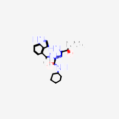 CNC(=O)C(=N)/C=C(\NC(C)c1cccc2[nH]ccc12)C(=O)NC1CCCCC1